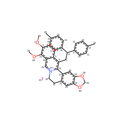 COc1ccc2c(CC(c3ccc(C)cc3)c3ccc(C)cc3)c3[n+](cc2c1OC)CCc1cc2c(cc1-3)OCO2.[I-]